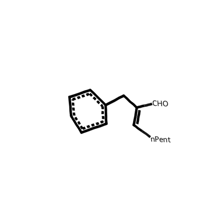 CCCCCC=C(C=O)Cc1ccccc1